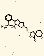 CC(C)c1ccccc1N1CC2CN(CC[C@@H]3CC4(CCCCC4)C(=O)O3)CC2C1